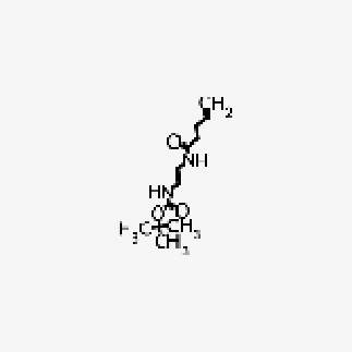 C=CCCC(=O)NCCNC(=O)OC(C)(C)C